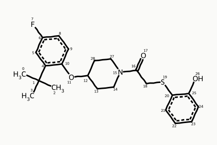 CC(C)(C)c1cc(F)ccc1OC1CCN(C(=O)CSc2ccccc2O)CC1